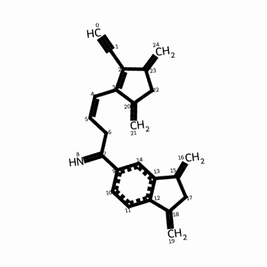 C#CC1=C(/C=C\CC(=N)c2ccc3c(c2)C(=C)CC3=C)C(=C)CC1=C